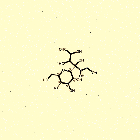 O=CC(O)C(O)C(O)(C(O)CO)[C@H]1O[C@H](CO)[C@@H](O)[C@H](O)[C@H]1O